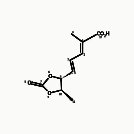 CC(=CC=C[C@H]1OC(=O)O[C@@H]1C)C(=O)O